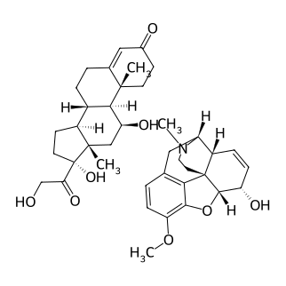 COc1ccc2c3c1O[C@H]1[C@@H](O)C=C[C@H]4[C@@H](C2)N(C)CC[C@@]341.C[C@]12CCC(=O)C=C1CC[C@@H]1[C@@H]2[C@@H](O)C[C@@]2(C)[C@H]1CC[C@]2(O)C(=O)CO